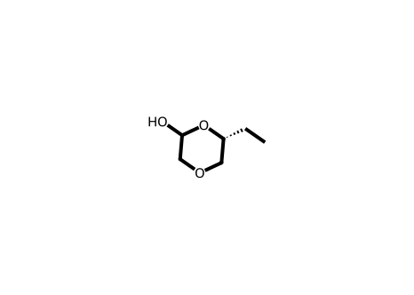 CC[C@@H]1COCC(O)O1